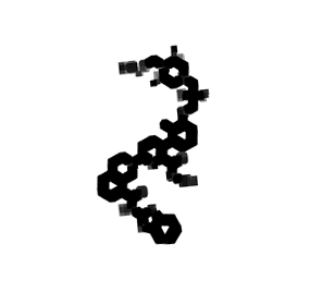 Cc1c(OCC(F)(F)CN2C[C@@H](C)N(CC(=O)O)[C@@H](C)C2)cccc1-c1ccc(N2CCc3cccc(C(=O)Nc4nc5ccccc5s4)c3C2)nc1C(=O)OC(C)(C)C